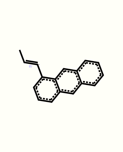 C/C=[C]/c1cccc2cc3ccccc3cc12